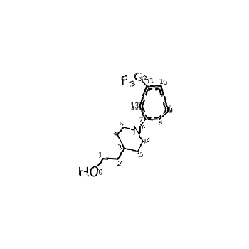 OCCC1CCN(c2cccc(C(F)(F)F)c2)CC1